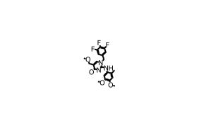 COCc1cn(Cc2cc(F)c(F)c(F)c2)c(Nc2cc(OC)c(OC)cc2C)nc1=O